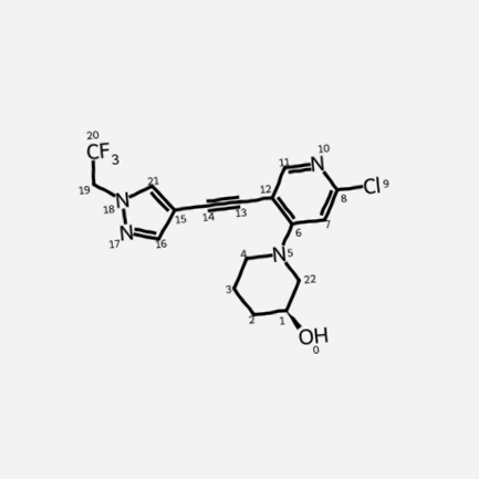 O[C@H]1CCCN(c2cc(Cl)ncc2C#Cc2cnn(CC(F)(F)F)c2)C1